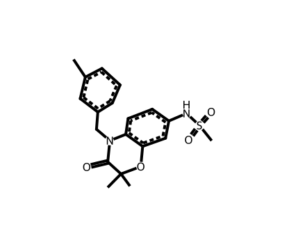 Cc1cccc(CN2C(=O)C(C)(C)Oc3cc(NS(C)(=O)=O)ccc32)c1